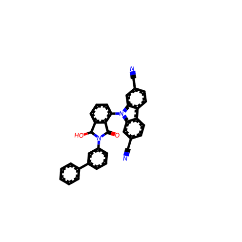 N#Cc1ccc2c3ccc(C#N)cc3n(-c3cccc4c3C(=O)N(c3cccc(-c5ccccc5)c3)C4O)c2c1